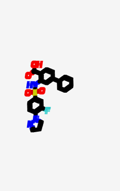 O=C(O)c1ccc(-c2ccccc2)cc1NS(=O)(=O)c1ccc(-n2cccn2)c(F)c1